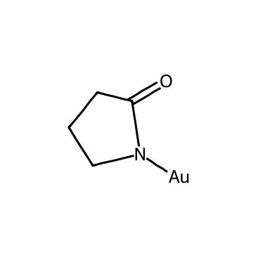 O=C1CCC[N]1[Au]